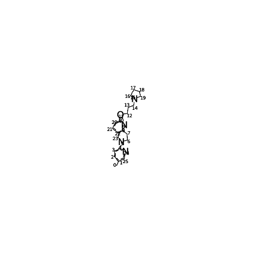 Cc1ccc(N2CCc3nc(OCCCN4CCCC4)ccc3C2)nc1